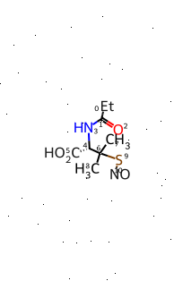 CCC(=O)N[C@@H](C(=O)O)C(C)(C)SN=O